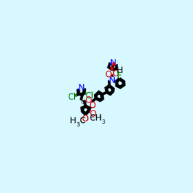 COc1ccc([C@H](Cc2c(Cl)cncc2Cl)OC(=O)c2ccc(-c3cccc(CN(C(=O)O[C@H]4CN5CCC4CC5)c4ccccc4F)c3)cc2)cc1OC